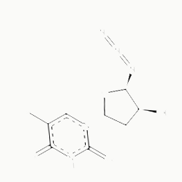 C[C@H]1[C@H](O)[C@H](N=[N+]=[N-])O[C@H]1n1cc(I)c(=O)[nH]c1=O